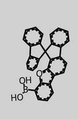 OB(O)c1cccc2c1oc1c3c(ccc12)-c1ccccc1C31c2ccccc2-c2ccccc21